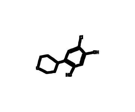 Oc1cc(O)c(C2CCOCC2)cc1Cl